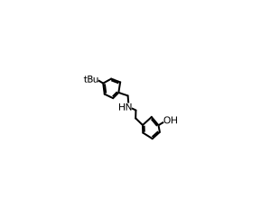 CC(C)(C)c1ccc(CNCCc2cccc(O)c2)cc1